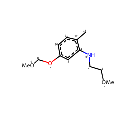 COCCNc1cc(OCOC)ccc1C